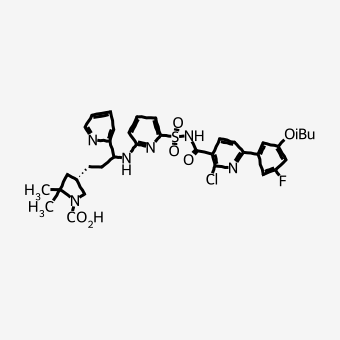 CC(C)COc1cc(F)cc(-c2ccc(C(=O)NS(=O)(=O)c3cccc(NC(CC[C@@H]4CN(C(=O)O)C(C)(C)C4)c4ccccn4)n3)c(Cl)n2)c1